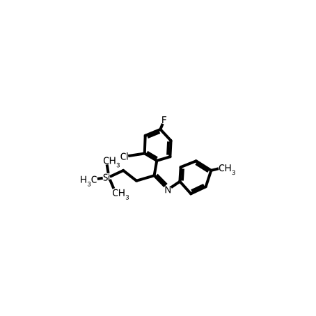 Cc1ccc(N=C(CC[Si](C)(C)C)c2ccc(F)cc2Cl)cc1